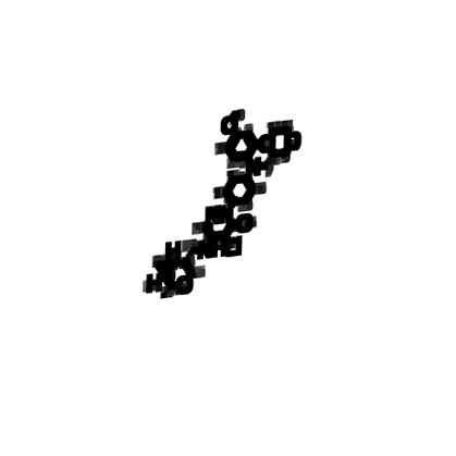 COc1ccc(N(C[C@H]2COCCO2)[C@H]2CC[C@H](n3ncc(NC[C@@H]4COC[C@H]5C[C@@H]45)c(Cl)c3=O)CC2)cc1